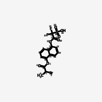 CC(Br)C(=O)Oc1cccc2c(OC(=O)C(F)(F)S(=O)(=O)O)cccc12